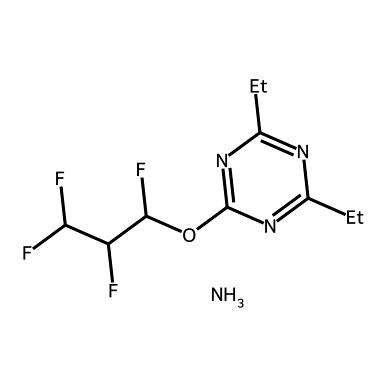 CCc1nc(CC)nc(OC(F)C(F)C(F)F)n1.N